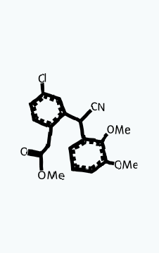 COC(=O)Cc1ccc(Cl)cc1C(C#N)c1cccc(OC)c1OC